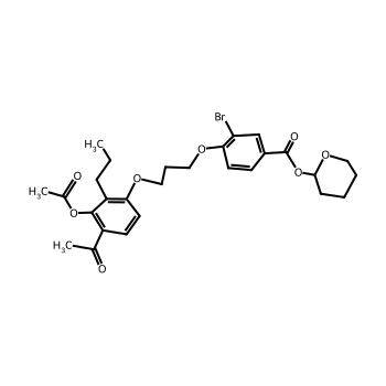 CCCc1c(OCCCOc2ccc(C(=O)OC3CCCCO3)cc2Br)ccc(C(C)=O)c1OC(C)=O